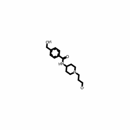 [O]CCCN1CCC(NC(=O)c2ccc(CO)cc2)CC1